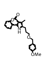 COc1ccc(COCCCc2[nH]c3c(c2C)c(=O)oc2ccccc23)cc1